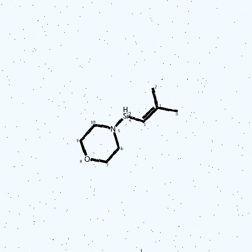 CC(C)=C[SiH2]N1CCOCC1